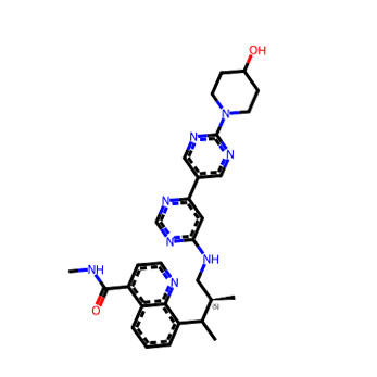 CNC(=O)c1ccnc2c(C(C)[C@H](C)CNc3cc(-c4cnc(N5CCC(O)CC5)nc4)ncn3)cccc12